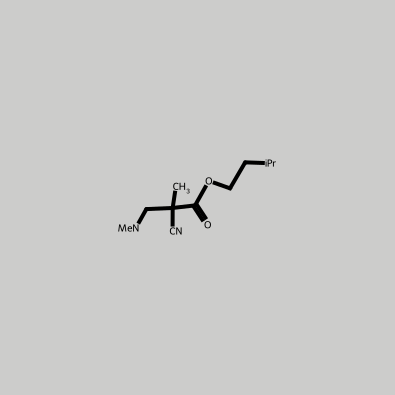 CNCC(C)(C#N)C(=O)OCCC(C)C